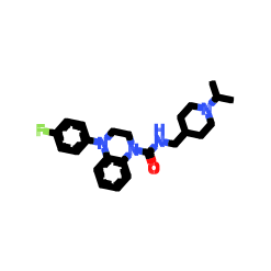 CC(C)N1CCC(CNC(=O)N2CCN(c3ccc(F)cc3)c3ccccc32)CC1